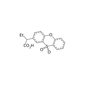 CCC(C(=O)O)c1ccc2c(c1)S(=O)(=O)c1ccccc1O2